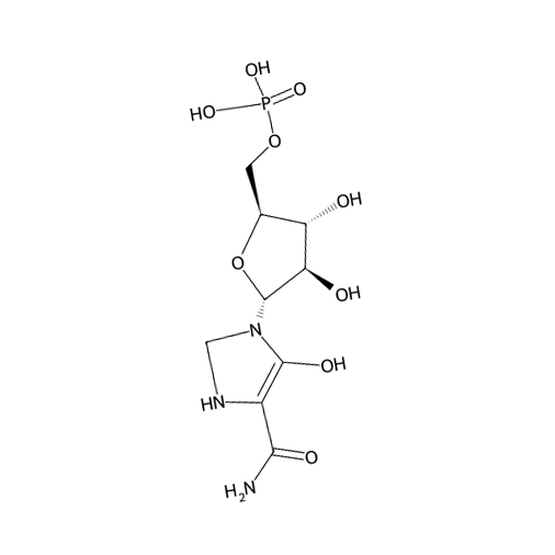 NC(=O)C1=C(O)N([C@@H]2O[C@@H](COP(=O)(O)O)[C@H](O)[C@H]2O)CN1